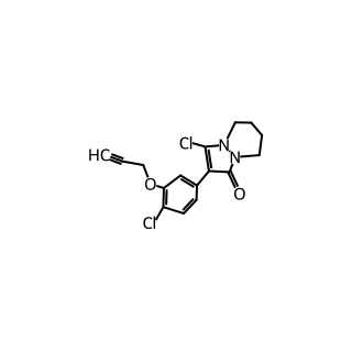 C#CCOc1cc(-c2c(Cl)n3n(c2=O)CCCC3)ccc1Cl